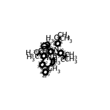 CC(C)(C)c1ccc(N2c3ccc(C(C)(C)C)cc3B3c4ccc5cc4N(c4ccc(C(C)(C)C)cc4-c4cccc(c4)C5(C)c4ccccc4)c4cc(C56CC7CC(CC(C7)C5)C6)cc2c43)cc1